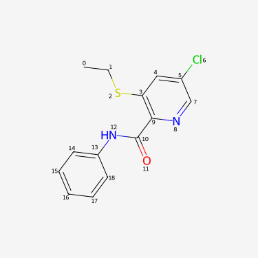 CCSc1cc(Cl)cnc1C(=O)Nc1ccccc1